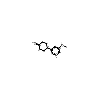 COc1cncc(C2CCC(=O)CC2)c1